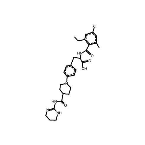 CCc1cc(Cl)cc(C)c1C(=O)NC(Cc1ccc(N2CCC(C(=O)NC3=NCCCN3)CC2)cc1)C(=O)O